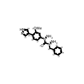 COc1cc(N(N)C(=O)N(N)Cc2ccccc2)ccc1-c1cn[nH]c1